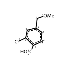 COCc1cnc(C(=O)O)c(Cl)c1